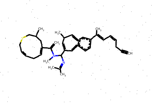 C#CC/C=C\C=C(/C)c1ccc2c(c1)=CC(C)C=C(C(N=C(C)C)N(C)C(=C)/C1=C/C/C=C\CSCC(C)C1)C=2